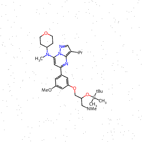 CNCC(COc1cc(OC)cc(-c2cc(N(C)C3CCOCC3)n3ncc(C(C)C)c3n2)c1)O[Si](C)(C)C(C)(C)C